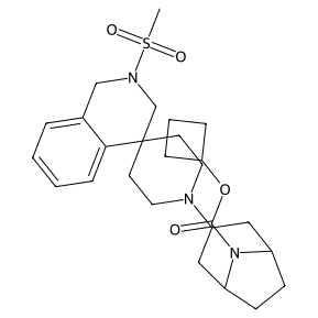 CS(=O)(=O)N1Cc2ccccc2C2(CCN(C3CC4CCC(C3)N4C(=O)OC3CCC3)CC2)C1